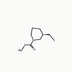 CC(C)(C)OC(=O)N1CCC[C@@H](CI)C1